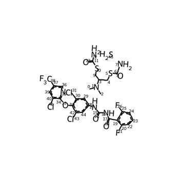 CN(C)C(CSC(N)=O)CSC(N)=O.O=C(NC(=O)c1c(F)cccc1F)Nc1cc(Cl)c(Oc2ncc(C(F)(F)F)cc2Cl)c(Cl)c1.S